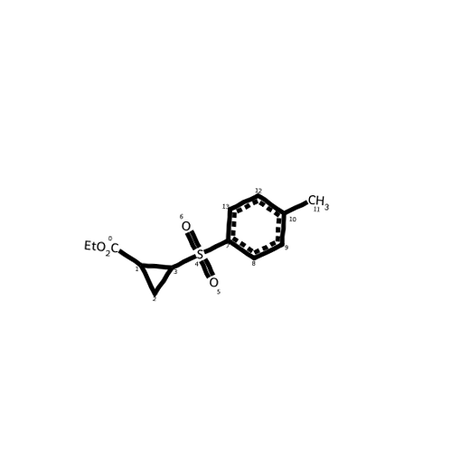 CCOC(=O)C1CC1S(=O)(=O)c1ccc(C)cc1